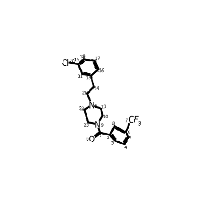 O=C(c1cccc(C(F)(F)F)c1)N1CCN(CCc2[c]ccc(Cl)c2)CC1